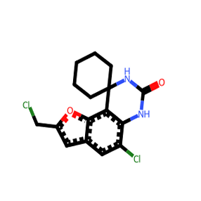 O=C1Nc2c(Cl)cc3cc(CCl)oc3c2C2(CCCCC2)N1